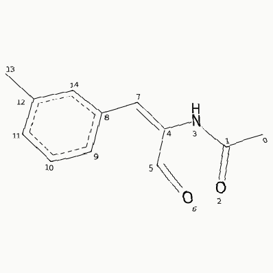 CC(=O)N/C(C=O)=C/c1cccc(C)c1